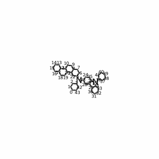 c1ccc(N(c2ccc3ccc4c5ccccc5ccc4c3c2)c2ccc3c(c2)c2ccccc2n3-c2ccccc2)cc1